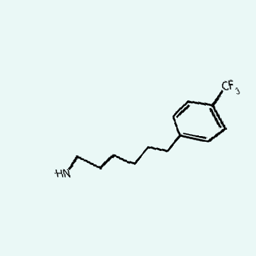 [NH]CCCCCCc1ccc(C(F)(F)F)cc1